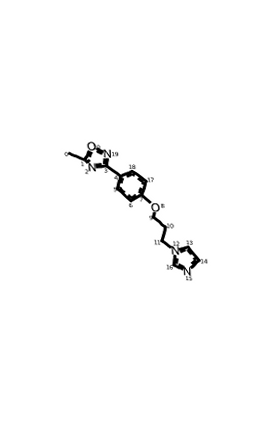 Cc1nc(-c2ccc(OCCCn3ccnc3)cc2)no1